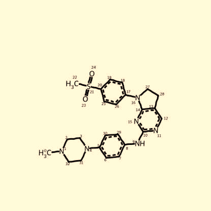 CN1CCN(c2ccc(Nc3ncc4c(n3)N(c3ccc(S(C)(=O)=O)cc3)CC4)cc2)CC1